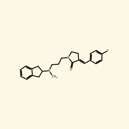 CN(CCCN1CC/C(=C\c2ccc(F)cc2)C1=O)C1Cc2ccccc2C1